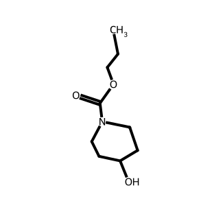 CCCOC(=O)N1CCC(O)CC1